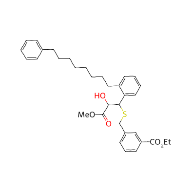 CCOC(=O)c1cccc(CSC(c2ccccc2CCCCCCCCc2ccccc2)C(O)C(=O)OC)c1